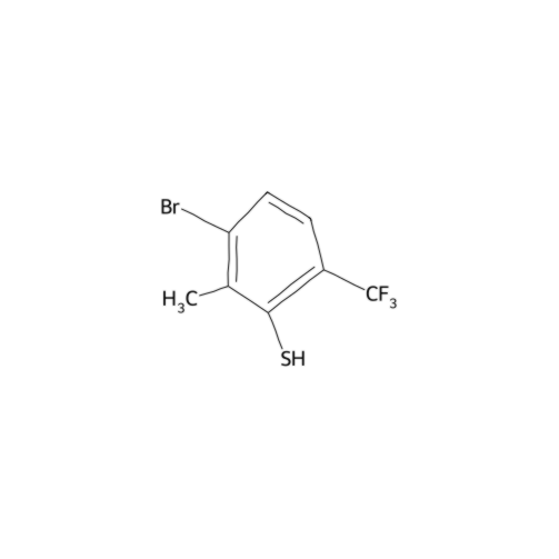 Cc1c(Br)ccc(C(F)(F)F)c1S